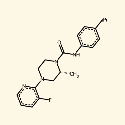 CC(C)c1ccc(NC(=O)N2CCN(c3ncccc3F)C[C@H]2C)cc1